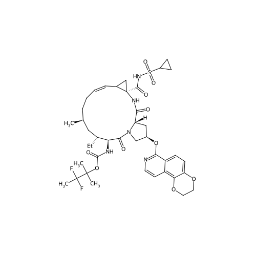 CC[C@@H]1C[C@@H](C)CC/C=C\C2C[C@@]2(C(=O)NS(=O)(=O)C2CC2)NC(=O)[C@@H]2C[C@@H](Oc3nccc4c5c(ccc34)OCCO5)CN2C(=O)[C@H]1NC(=O)OC(C)(C)C(C)(F)F